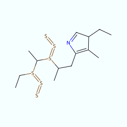 CCC1C=NC(CC(C)S(=S=S)C(C)S(CC)=S=S)=C1C